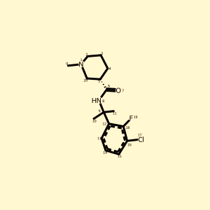 CN1CCC[C@H](C(=O)NC(C)(C)c2cccc(Cl)c2F)C1